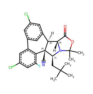 CC(C)(C)C[C@@H]1N2[C@@H](C(=O)OC2(C)C)[C@@H]2c3cc(Cl)cc(c3)-c3cc(Cl)cc(F)c3[C@@]12C#N